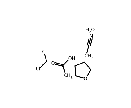 C1CCOC1.CC#N.CC(=O)O.ClCCl.O